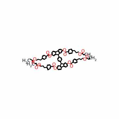 C=CC(=O)OCCCc1ccc(C(=O)Oc2ccc3c(c2)C(c2ccc(C4c5cc(OC(=O)c6ccc(CCCOC(=O)C=C)cc6)ccc5-c5ccc(OC(=O)c6ccc(CCCOC(=O)C=C)cc6)cc54)cc2)c2cc(OC(=O)c4ccc(CCCOC(=O)C=C)cc4)ccc2-3)cc1